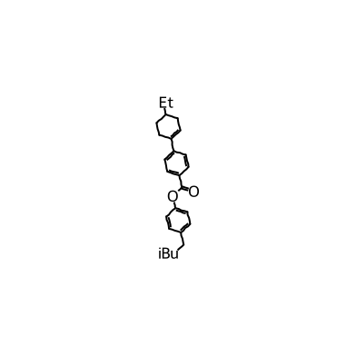 CCC(C)Cc1ccc(OC(=O)c2ccc(C3=CCC(CC)CC3)cc2)cc1